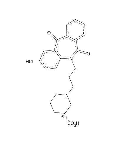 Cl.O=C(O)[C@@H]1CCCN(CCCn2c(=O)c3ccccc3c(=O)c3ccccc32)C1